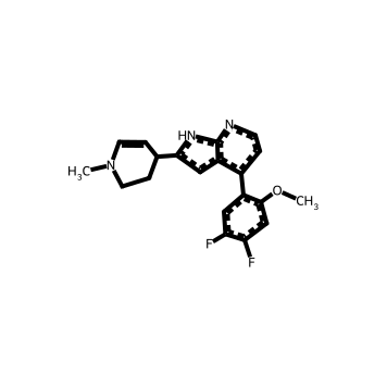 COc1cc(F)c(F)cc1-c1ccnc2[nH]c(C3C=CN(C)CC3)cc12